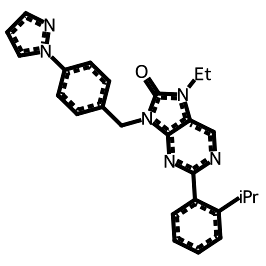 CCn1c(=O)n(Cc2ccc(-n3cccn3)cc2)c2nc(-c3ccccc3C(C)C)ncc21